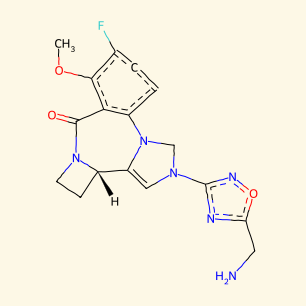 COc1c(F)ccc2c1C(=O)N1CC[C@H]1C1=CN(c3noc(CN)n3)CN12